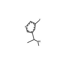 CNC(C)c1cncc(F)c1